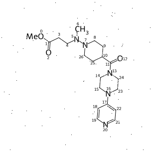 COC(=O)CCN(C)N1CCC(C(=O)N2CCN(c3ccncc3)CC2)CC1